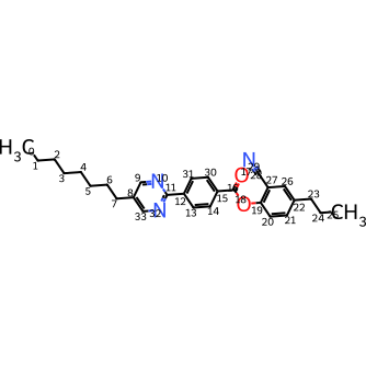 CCCCCCCCc1cnc(-c2ccc(C(=O)Oc3ccc(CCC)cc3C#N)cc2)nc1